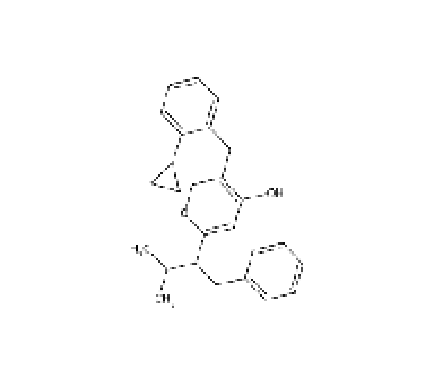 CC(C)C(Cc1ccccc1)C1=CC(O)=C(Cc2ccccc2C2CC2)CO1